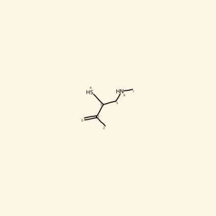 C=C(C)C(S)CNC